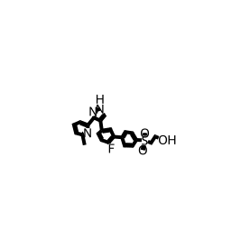 Cc1cccc(-c2n[nH]cc2-c2ccc(F)c(-c3ccc(S(=O)(=O)CCO)cc3)c2)n1